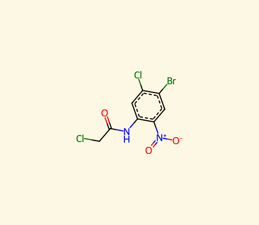 O=C(CCl)Nc1cc(Cl)c(Br)cc1[N+](=O)[O-]